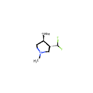 CO[C@@H]1CN(C)C[C@H]1C(F)F